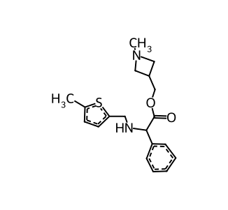 Cc1ccc(CNC(C(=O)OCC2CN(C)C2)c2ccccc2)s1